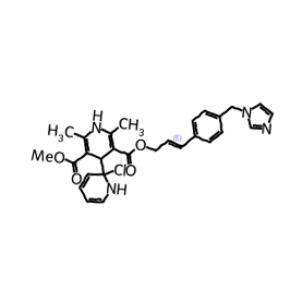 COC(=O)C1=C(C)NC(C)=C(C(=O)OC/C=C/c2ccc(Cn3ccnc3)cc2)C1C1(Cl)C=CC=CN1